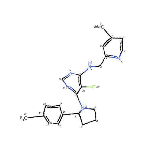 COc1ccnc(CNc2ncnc(N3CCCC3c3ccc(C(F)(F)F)cc3)c2F)c1